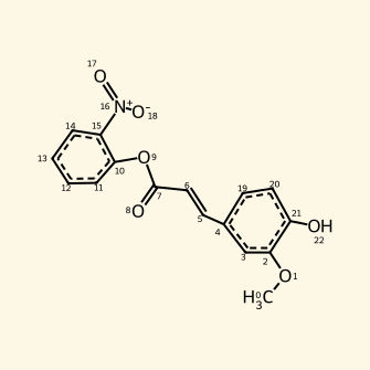 COc1cc(C=CC(=O)Oc2ccccc2[N+](=O)[O-])ccc1O